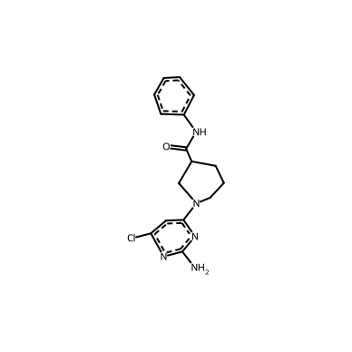 Nc1nc(Cl)cc(N2CCCC(C(=O)Nc3ccccc3)C2)n1